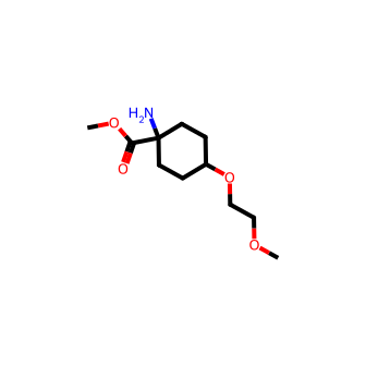 COCCOC1CCC(N)(C(=O)OC)CC1